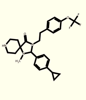 CN1C(c2ccc(C3CC3)cc2)N(CCc2ccc(OC(F)(F)F)cc2)C(=O)C12CCNCC2